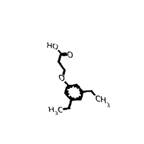 CCc1cc(CC)cc(OCCC(=O)O)c1